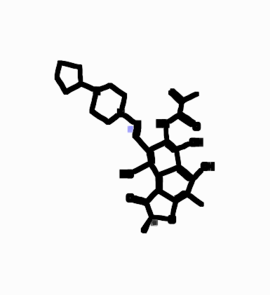 C=C(C)C(=O)Nc1c(/C=N/N2CCN(C3CCCC3)CC2)c(O)c2c3c(c(C)c(O)c2c1O)O[C@@H](C)C3=O